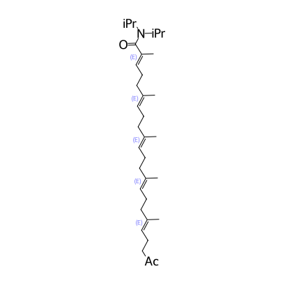 CC(=O)CC/C=C(\C)CC/C=C(\C)CC/C=C(\C)CC/C=C(\C)CC/C=C(\C)C(=O)N(C(C)C)C(C)C